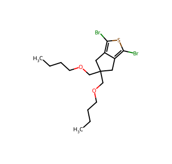 CCCCOCC1(COCCCC)Cc2c(Br)sc(Br)c2C1